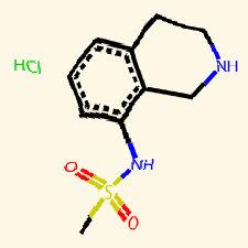 CS(=O)(=O)Nc1cccc2c1CNCC2.Cl